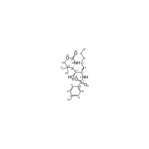 CCCCC[C@@H](NS(=O)(=O)c1ccc(C)cc1)[C@@H](O)[C@H]1NC(=O)OCC1(C)C